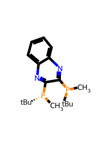 CP(c1nc2ccccc2nc1[P@](C)C(C)(C)C)C(C)(C)C